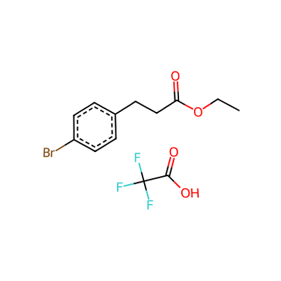 CCOC(=O)CCc1ccc(Br)cc1.O=C(O)C(F)(F)F